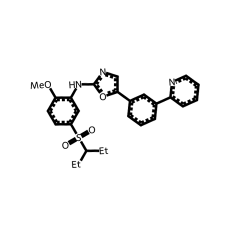 CCC(CC)S(=O)(=O)c1ccc(OC)c(Nc2ncc(-c3cccc(-c4ccccn4)c3)o2)c1